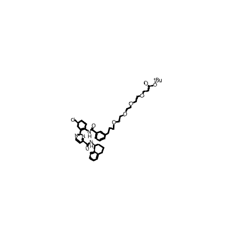 CC(C)(C)OC(=O)CCOCCOCCOCCOCCCc1cccc(C(=O)Nc2ccc(Cl)cc2-c2nccc(C(=O)N[C@H]3CCCc4ccccc43)n2)c1